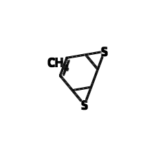 C.C1=CC2SC2C2SC12